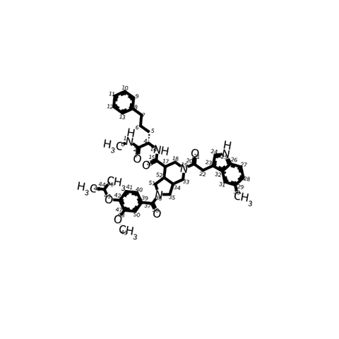 CNC(=O)[C@H](CCCc1ccccc1)NC(=O)C1CN(C(=O)Cc2c[nH]c3ccc(C)cc23)CC2CN(C(=O)c3ccc(OC(C)C)c(OC)c3)CC21